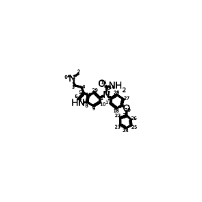 CN(C)CCc1c[nH]c2ccc(N(C(N)=O)c3ccc(Oc4ccccc4)cc3)cc12